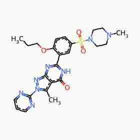 CCCOc1ccc(S(=O)(=O)N2CCN(C)CC2)cc1-c1nc2nn(-c3ncccn3)c(C)c2c(=O)[nH]1